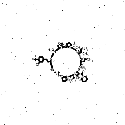 CC[C@H](C)[C@H]1CN[C@@H](CC(C)C)C(C)NCC2[C@@H](C(=O)N3CCCCC3)C(C)N2[C@@H](C(C)C)C(C)NC2(CCCC2)CNCCNC=CC(CCc2ccc(C(F)(F)F)c(Cl)c2)=NC=CN(C)C=C(CO)N(C)C=C2CCCN2[C@@H](C)C(C)N1